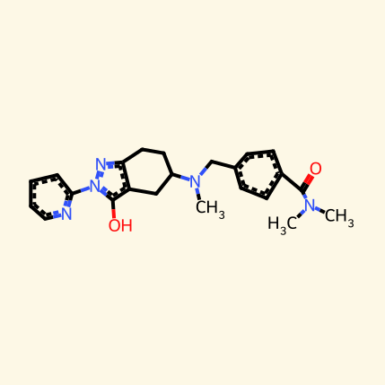 CN(C)C(=O)c1ccc(CN(C)C2CCc3nn(-c4ccccn4)c(O)c3C2)cc1